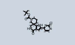 CC(C)(C)OC(=O)N1CCCC2(CNC(=O)c3cc(-c4ccnc(Cl)n4)[nH]c32)C1